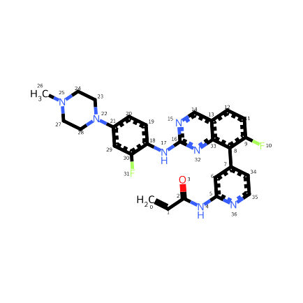 C=CC(=O)Nc1cc(-c2c(F)ccc3cnc(Nc4ccc(N5CCN(C)CC5)cc4F)nc23)ccn1